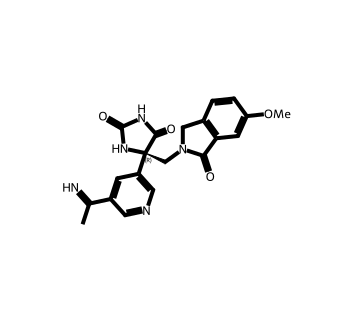 COc1ccc2c(c1)C(=O)N(C[C@@]1(c3cncc(C(C)=N)c3)NC(=O)NC1=O)C2